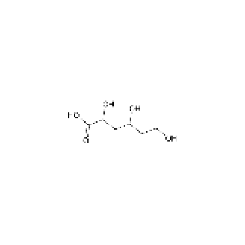 O=C(O)C(O)CC(O)CCO